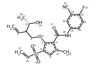 C=CC(COc1c(S(=O)(=O)N=C)cn(C)c1C(=O)Nc1ccc(F)c(C#N)c1)[C@H](C)O